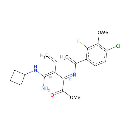 C=CC(/C(=N\C(=C)c1ccc(Cl)c(OC)c1F)C(=O)OC)=C(/N)NC1CCC1